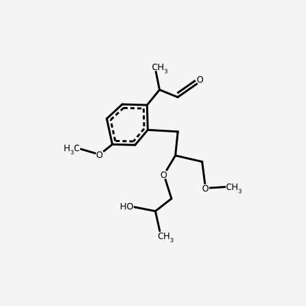 COCC(Cc1cc(OC)ccc1C(C)C=O)OCC(C)O